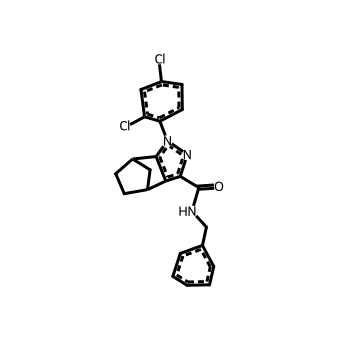 O=C(NCc1ccccc1)c1nn(-c2ccc(Cl)cc2Cl)c2c1C1CCC2C1